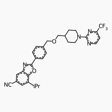 CC(C)c1cc(C#N)cc2nc(-c3ccc(COCC4CCN(c5nccc(C(F)(F)F)n5)CC4)cc3)oc12